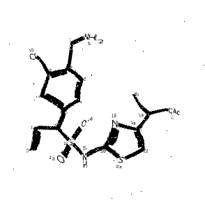 C=CC(c1ccc(CN)c(Cl)c1)S(=O)(=O)Nc1nc(C(C)OC(C)=O)cs1